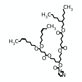 CC/C=C\CCCCOC(CCC(=O)OCCCC(CCCOC(=O)CCCCC(=O)OCCC(CCCCC)CCCCC)OC(=O)n1ccnc1)OCCCC/C=C\CC